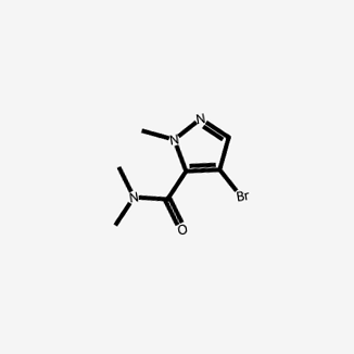 CN(C)C(=O)c1c(Br)cnn1C